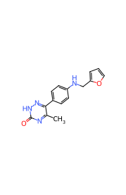 Cc1nc(=O)[nH]nc1-c1ccc(NCc2ccco2)cc1